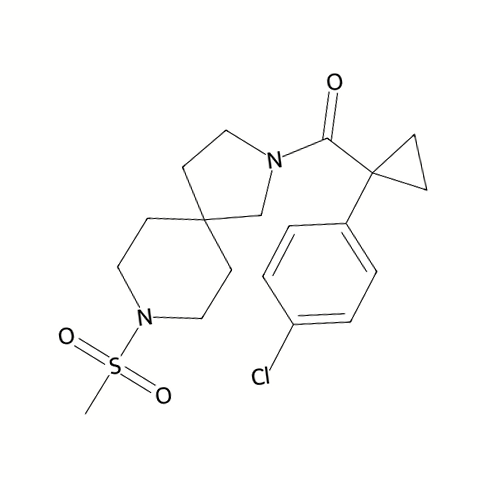 CS(=O)(=O)N1CCC2(CCN(C(=O)C3(c4ccc(Cl)cc4)CC3)C2)CC1